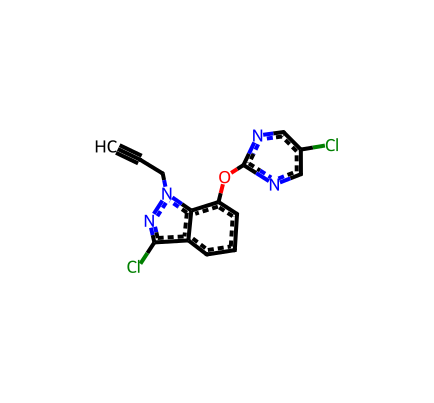 C#CCn1nc(Cl)c2cccc(Oc3ncc(Cl)cn3)c21